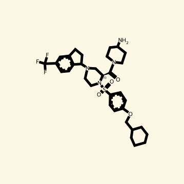 NC1CCN(C(=O)[C@@H]2CN(C3CCc4cc(C(F)(F)F)ccc43)CCN2S(=O)(=O)c2ccc(OCC3CCCCC3)cc2)CC1